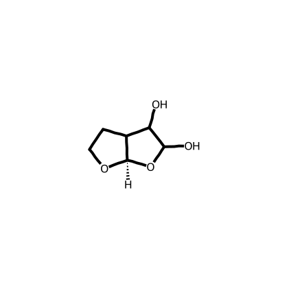 OC1O[C@H]2OCCC2C1O